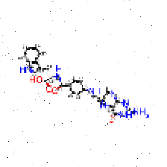 Nc1nc2ncc(CNc3ccc(C(=O)N[C@@H](Cc4c[nH]c5ccccc45)C(=O)O)cc3)nc2c(=O)[nH]1